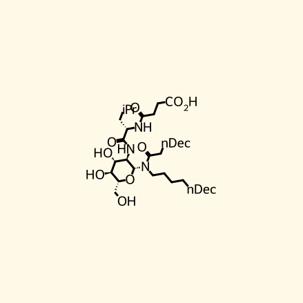 CCCCCCCCCCCCCCN(C(=O)CCCCCCCCCCC)[C@@H]1O[C@H](CO)[C@@H](O)[C@H](O)[C@H]1NC(=O)[C@H](CC(C)C)NC(=O)CCC(=O)O